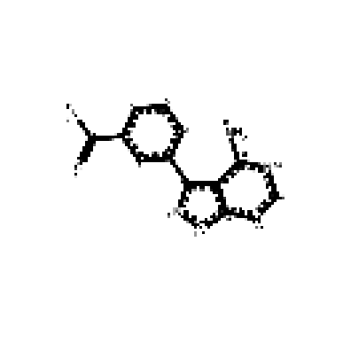 NC(=O)c1cccc(-c2n[nH]c3ncnc(N)c23)c1